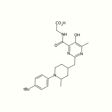 Cc1nc(CC2CCN(c3ccc(C(C)(C)C)cc3)C(C)C2)nc(C(=O)NCC(=O)O)c1O